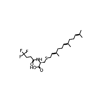 CC(C)=CCC/C(C)=C/CC/C(C)=C/CSC[C@H](NC(=O)CCC(F)(F)F)C(=O)O